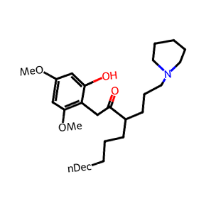 CCCCCCCCCCCCCC(CCCN1CCCCC1)C(=O)Cc1c(O)cc(OC)cc1OC